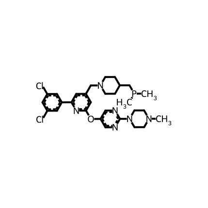 CN1CCN(c2ncc(Oc3cc(CN4CCC(CP(C)C)CC4)cc(-c4cc(Cl)cc(Cl)c4)n3)cn2)CC1